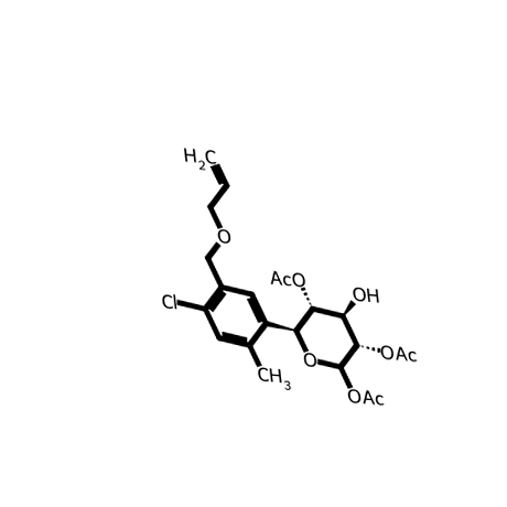 C=CCOCc1cc([C@@H]2OC(OC(C)=O)[C@@H](OC(C)=O)[C@H](O)[C@H]2OC(C)=O)c(C)cc1Cl